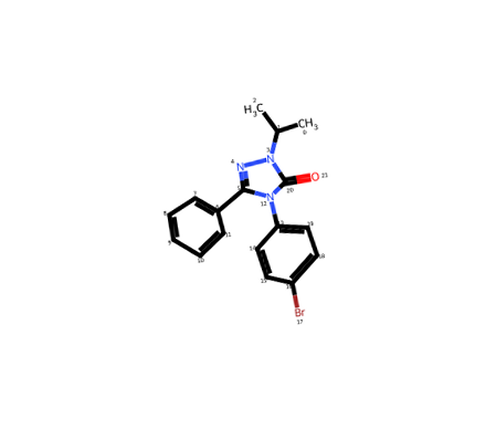 CC(C)n1nc(-c2ccccc2)n(-c2ccc(Br)cc2)c1=O